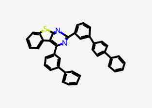 c1ccc(-c2ccc(-c3cccc(-c4nc(-c5cccc(-c6ccccc6)c5)c5c(n4)sc4ccccc45)c3)cc2)cc1